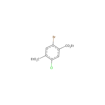 CCOC(=O)c1cc(Br)c(C(=O)OCC)cc1Cl